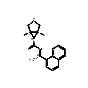 C[C@H](NC(=O)[C@H]1[C@@H]2CNC[C@@H]21)c1cccc2ccccc12